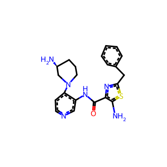 Nc1sc(Cc2ccccc2)nc1C(=O)Nc1cnccc1N1CCC[C@H](N)C1